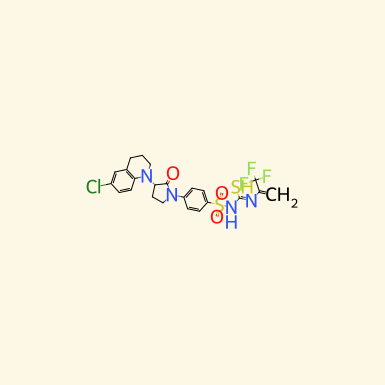 C=C(/N=C(\S)NS(=O)(=O)c1ccc(N2CC[C@H](N3CCCc4cc(Cl)ccc43)C2=O)cc1)C(F)(F)F